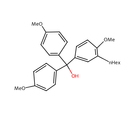 CCCCCCc1cc(C(O)(c2ccc(OC)cc2)c2ccc(OC)cc2)ccc1OC